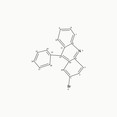 Brc1ccc2nc3ccccc3c(-c3ccccc3)c2c1